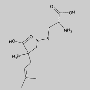 CC(C)=CCC(N)(CSSCC(N)C(=O)O)C(=O)O